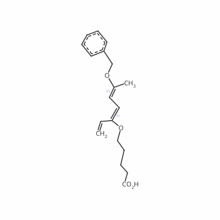 C=C/C(=C\C=C(/C)OCc1ccccc1)OCCCCC(=O)O